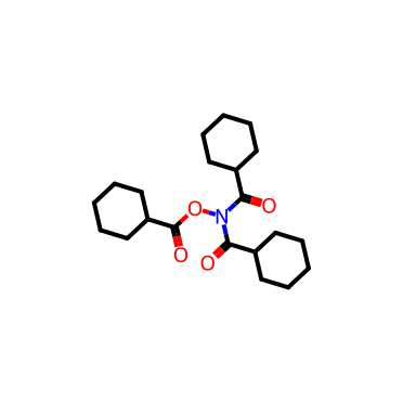 O=C(ON(C(=O)C1CCCCC1)C(=O)C1CCCCC1)C1CCCCC1